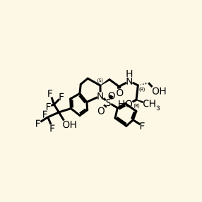 C[C@@H](O)[C@@H](CO)NC(=O)C[C@@H]1CCc2cc(C(O)(C(F)(F)F)C(F)(F)F)ccc2N1S(=O)(=O)c1ccc(F)cc1